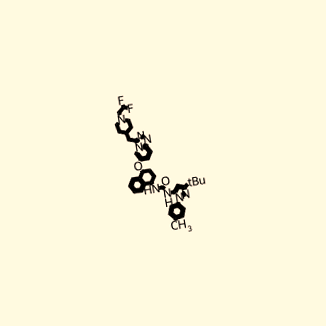 Cc1ccc(-n2nc(C(C)(C)C)cc2NC(=O)NC2CCC(Oc3ccc4nnc(CC5CCN(CC(F)F)CC5)n4c3)c3ccccc32)cc1